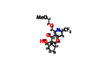 COCCOCc1nc(C(F)(F)F)ccc1C(=O)C1C(=O)C2CCC(C2)C1O